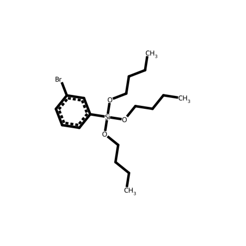 CCCCO[Si](OCCCC)(OCCCC)c1cccc(Br)c1